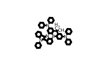 CC1(C)c2cc(N(c3ccccc3)c3ccccc3)ccc2B2c3c(cc(N(c4ccccc4)c4ccccc4)cc31)-n1c3c2cccc3c2c1c1ccccc1n2-c1ccccc1